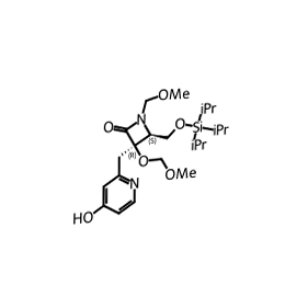 COCO[C@@]1(Cc2cc(O)ccn2)C(=O)N(COC)[C@H]1CO[Si](C(C)C)(C(C)C)C(C)C